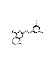 CN1CCCn2c1cc(OCc1cc(F)cc(F)c1)nc2=O